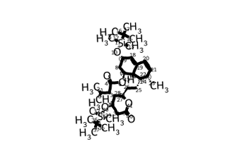 CC(C)CC(=O)O[C@H]1C[C@H](O[Si](C)(C)C(C)(C)C)C=C2C=C[C@H](C)[C@H](CC[C@@H]3C[C@@H](O[Si](C)(C)C(C)(C)C)CC(=O)O3)[C@H]21